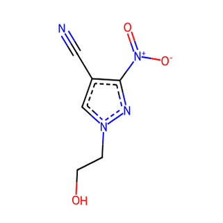 N#Cc1cn(CCO)nc1[N+](=O)[O-]